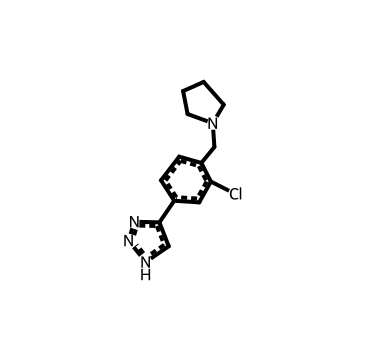 Clc1cc(-c2c[nH]nn2)ccc1CN1CCCC1